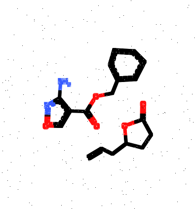 C=CCC1CCC(=O)O1.Nc1nocc1C(=O)OCc1ccccc1